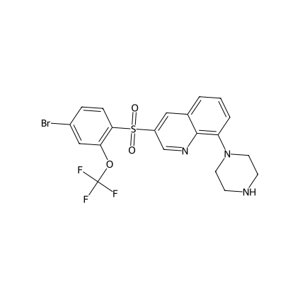 O=S(=O)(c1cnc2c(N3CCNCC3)cccc2c1)c1ccc(Br)cc1OC(F)(F)F